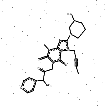 CC#CCn1c(N2CCCC(N)C2)nc2c1c(=O)n(CC(=O)C(N)c1ccncc1)c(=O)n2C